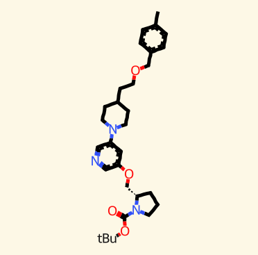 Cc1ccc(COCCC2CCN(c3cncc(OC[C@@H]4CCCN4C(=O)OC(C)(C)C)c3)CC2)cc1